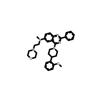 COc1ccccc1C1CCN(c2nc(-c3ccccc3)nc3ccc(N(C)CCN4CCOCC4)cc23)CC1